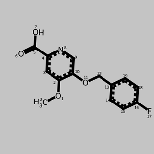 COc1cc(C(=O)O)ncc1OCc1ccc(F)cc1